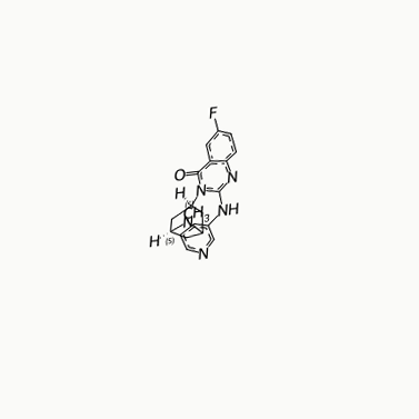 CN1C2C[C@H]1C[C@@H](n1c(Nc3cccnc3)nc3ccc(F)cc3c1=O)C2